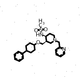 CS(=O)(=O)N[C@H]1CCN(Cc2ccccn2)C[C@H]1COC1CCC(c2ccccc2)CC1